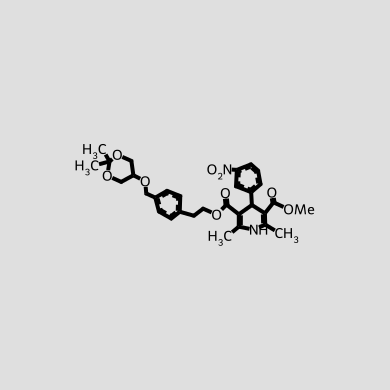 COC(=O)C1=C(C)NC(C)=C(C(=O)OCCc2ccc(COC3COC(C)(C)OC3)cc2)C1c1cccc([N+](=O)[O-])c1